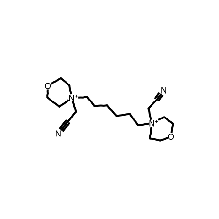 N#CC[N+]1(CCCCCC[N+]2(CC#N)CCOCC2)CCOCC1